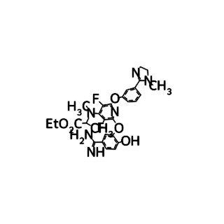 CCOC(=O)C(C)N(C)c1c(F)c(Oc2cccc(C3=NCCN3C)c2)nc(Oc2cc(C(=N)N)ccc2O)c1F